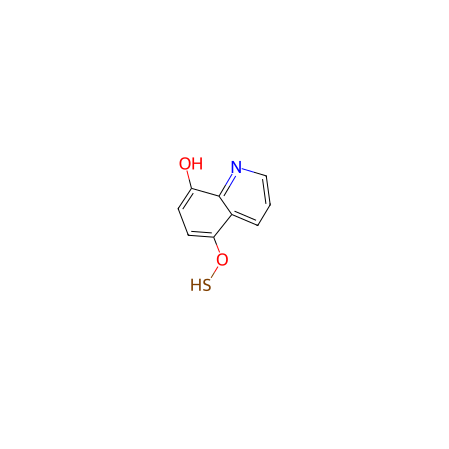 Oc1ccc(OS)c2cccnc12